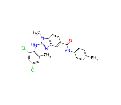 Bc1ccc(NC(=O)c2ccc3c(c2)nc(Nc2c(C)cc(Cl)cc2Cl)n3C)cc1